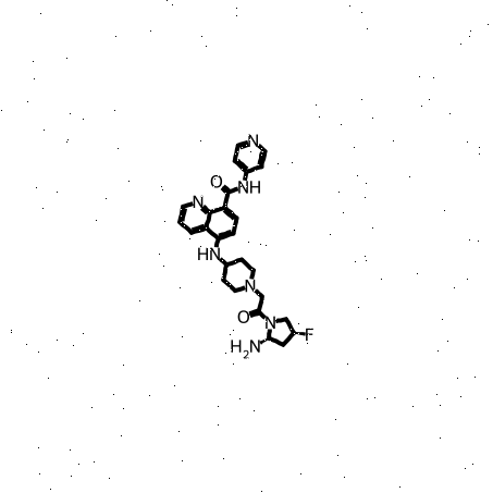 N[C@@H]1C[C@H](F)CN1C(=O)CN1CCC(Nc2ccc(C(=O)Nc3ccncc3)c3ncccc23)CC1